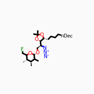 CCCCCCCCCCCCCC[C@H]1OC(C)(C)O[C@H]1[C@H](CO[C@H]1OC(CF)[C@@H](C)[C@H](C)C1C)N=[N+]=[N-]